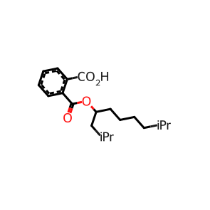 CC(C)CCCCC(CC(C)C)OC(=O)c1ccccc1C(=O)O